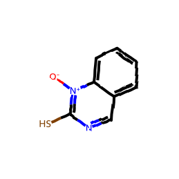 [O-][n+]1c(S)ncc2ccccc21